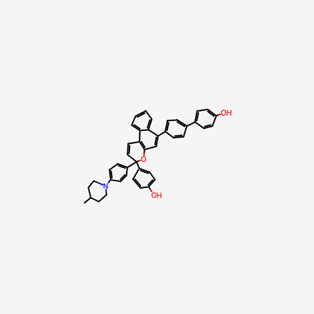 CC1CCN(c2ccc(C3(c4ccc(O)cc4)C=Cc4c(cc(-c5ccc(-c6ccc(O)cc6)cc5)c5ccccc45)O3)cc2)CC1